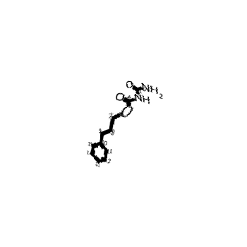 NC(=O)NC(=O)OCCCc1ccccc1